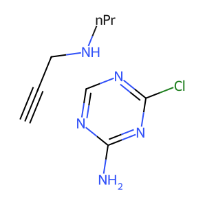 C#CCNCCC.Nc1ncnc(Cl)n1